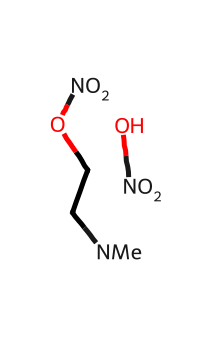 CNCCO[N+](=O)[O-].O=[N+]([O-])O